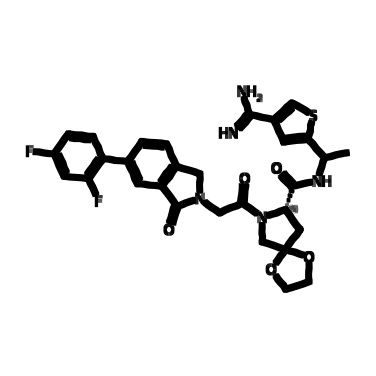 CC(NC(=O)[C@@H]1CC2(CN1C(=O)CN1Cc3ccc(-c4ccc(F)cc4F)cc3C1=O)OCCO2)c1cc(C(=N)N)cs1